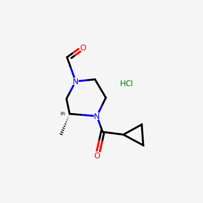 C[C@@H]1CN(C=O)CCN1C(=O)C1CC1.Cl